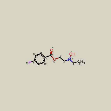 CCN(O)CCOC(=O)c1ccc(I)cc1